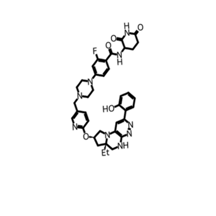 CC[C@]12CNc3nnc(-c4ccccc4O)cc3N1C[C@H](Oc1ccc(CN3CCN(c4ccc(C(=O)NC5CCC(=O)NC5=O)c(F)c4)CC3)cn1)C2